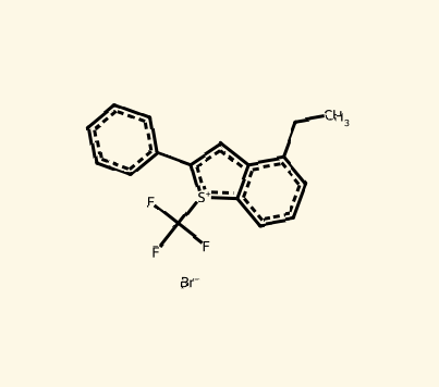 CCc1cccc2c1cc(-c1ccccc1)[s+]2C(F)(F)F.[Br-]